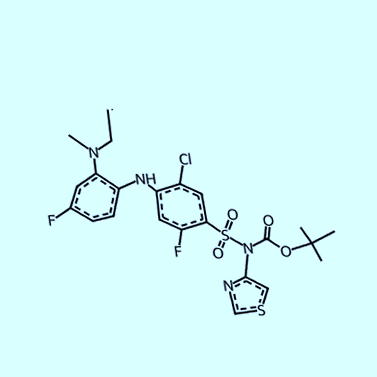 [CH2]CN(C)c1cc(F)ccc1Nc1cc(F)c(S(=O)(=O)N(C(=O)OC(C)(C)C)c2cscn2)cc1Cl